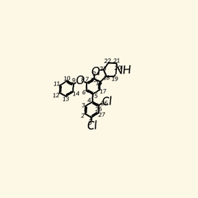 Clc1ccc(-c2cc(Oc3ccccc3)c3c(c2)C2CNCCC2O3)c(Cl)c1